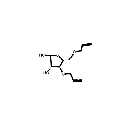 C=CCOC[C@H]1SC(O)[C@@H](O)[C@@H]1OCC=C